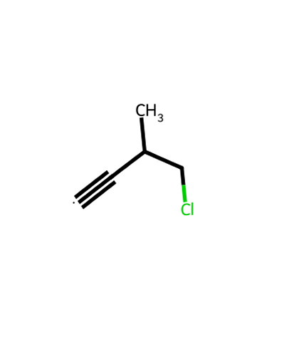 [C]#CC(C)CCl